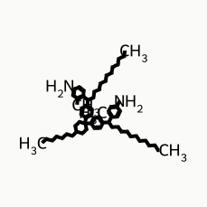 CCCCCCCCCCCCC(c1ccc(C2(c3ccc(C(CCCCCCCCCCCC)c4ccc(N)cc4C)cc3)CCC(CCCCCCC)CC2)cc1)c1ccc(N)cc1C